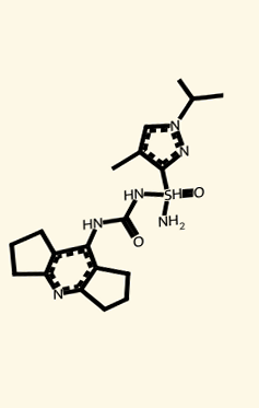 Cc1cn(C(C)C)nc1[SH](N)(=O)NC(=O)Nc1c2c(nc3c1CCC3)CCC2